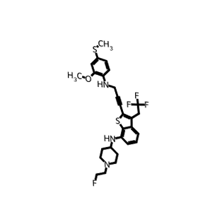 COc1cc(SC)ccc1NCC#Cc1sc2c(NC3CCN(CCF)CC3)cccc2c1CC(F)(F)F